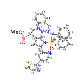 COC(=O)c1cnc(N(Cc2ccccc2)Cc2ccccc2)c2c1cc(-c1cc(-c3nccs3)ccn1)n2S(=O)(=O)c1ccccc1